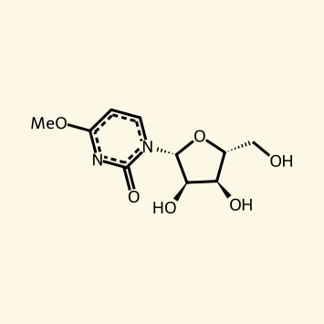 COc1ccn([C@@H]2O[C@H](CO)[C@@H](O)[C@H]2O)c(=O)n1